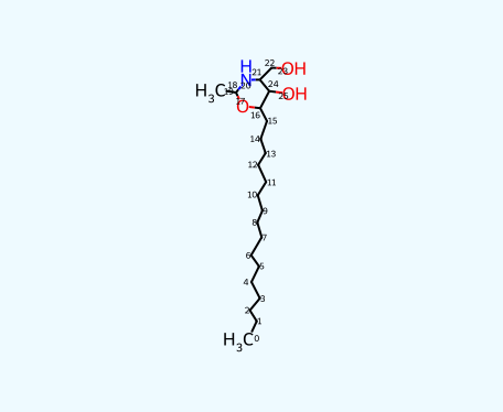 CCCCCCCCCCCCCCCCC1OC(C)NC(CO)C1O